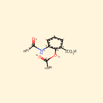 CCCC(=O)Nc1cccc(C(=O)O)c1OC(=O)CCC